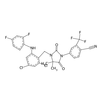 CC1(C)C(=O)N(c2ccc(C#N)c(C(F)(F)F)c2)C(=O)N1Cc1c(Cl)cc(Cl)cc1Nc1ccc(F)cc1F